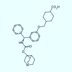 O=C(N[C@@H](c1ccccc1)c1cccc(OCC2CCC(C(=O)O)CC2)c1)OC1CN2CCC1CC2